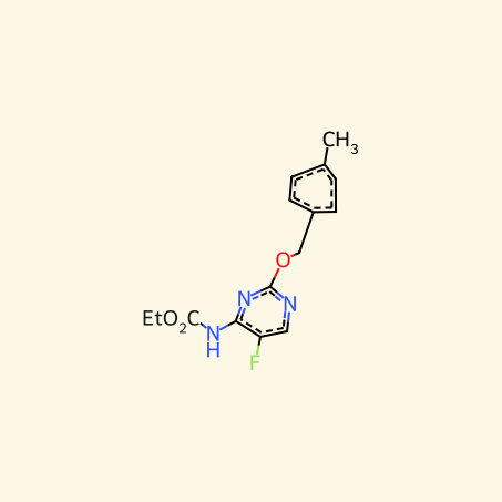 CCOC(=O)Nc1nc(OCc2ccc(C)cc2)ncc1F